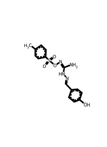 Cc1ccc(S(=O)(=O)ON=C(N)NN=Cc2ccc(O)cc2)cc1